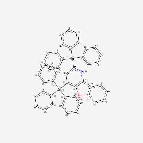 c1ccc([Si](c2ccccc2)(c2ccccc2)c2cc([Si](c3ccccc3)(c3ccccc3)c3ccccc3)c3oc4ccccc4c3n2)cc1